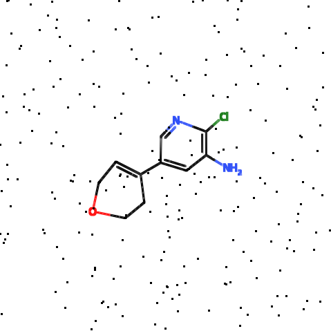 Nc1cc(C2=CCOCC2)cnc1Cl